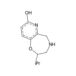 CC(C)C1CNCc2nc(O)ccc2O1